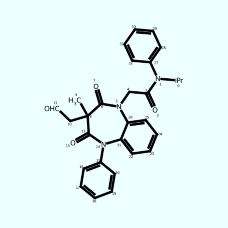 CC(C)N(C(=O)CN1C(=O)C(C)(CC=O)C(=O)N(c2ccccc2)c2ccccc21)c1ccccc1